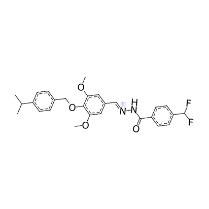 COc1cc(/C=N/NC(=O)c2ccc(C(F)F)cc2)cc(OC)c1OCc1ccc(C(C)C)cc1